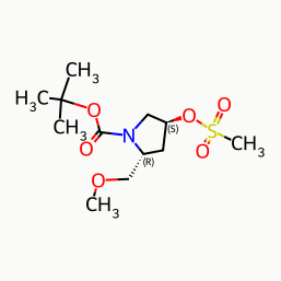 COC[C@H]1C[C@H](OS(C)(=O)=O)CN1C(=O)OC(C)(C)C